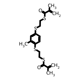 C=C(C)C(=O)SCCSc1ccc(SCCSC(=O)C(=C)C)c(C)c1